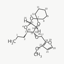 CCC[C@H]1O[C@@H]2OC3(CCCCC3)O[C@@H]2[C@H]1OCc1occc1OC